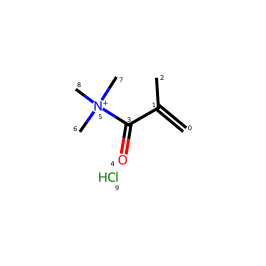 C=C(C)C(=O)[N+](C)(C)C.Cl